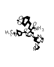 COc1ccc(C(=O)N2CCN(c3cc(-n4ccnc4)ncn3)CC2C(CCc2ccc3c(c2)OCO3)C(N)=O)cc1